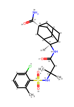 Cc1cccc(Cl)c1S(=O)(=O)NC(C)(C)CC(=O)N[C@H]1C2CC3CC1C[C@](C(N)=O)(C3)C2